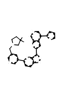 FC1(F)CCN(Cc2cncc(-c3ccc4[nH]nc(-c5cc6c(-c7cccs7)cncc6[nH]5)c4n3)c2)C1